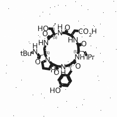 CC(C)C[C@@H]1NC(=O)[C@H](Cc2ccc(O)cc2)NC(=O)[C@@H]2CCCN2[C@H](C(=O)NC(C)(C)C)CNC(=O)[C@H]([C@@H](C)O)NC(=O)C(CC(=O)O)NC1=O